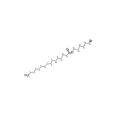 CCCCCCCCCCCCCCCC(=O)OCCCCCCBr